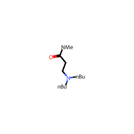 CCCCN(CCCC)CCC(=O)NC